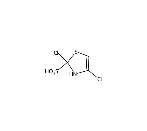 O=S(=O)(O)C1(Cl)NC(Cl)=CS1